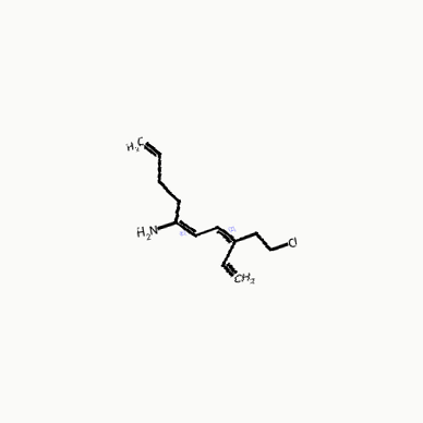 C=CCC/C(N)=C\C=C(/C=C)CCCl